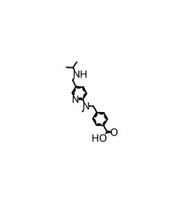 CC(C)NCc1ccc(N(C)Cc2ccc(C(=O)O)cc2)nc1